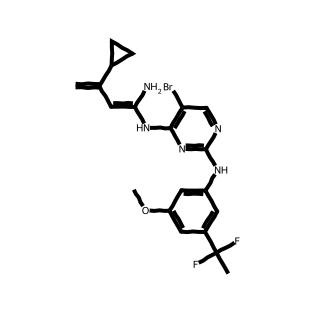 C=C(/C=C(\N)Nc1nc(Nc2cc(OC)cc(C(C)(F)F)c2)ncc1Br)C1CC1